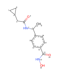 CC(NC(=O)CC1CC1)c1ccc(C(=O)NO)cc1